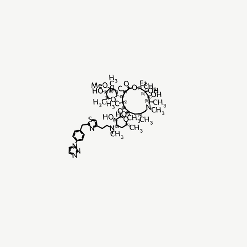 CC[C@H]1OC(=O)[C@H](C)[C@@H](C2C[C@@](C)(OC)[C@@H](O)[C@H](C)O2)[C@H](C)[C@@H](O[C@@H]2O[C@H](C)C[C@H](N(C)CCc3csc(Cc4ccc(-n5ccnn5)cc4)n3)[C@H]2O)[C@](C)(O)C[C@@H](C)CN(C)[C@H](C)[C@@H](O)[C@]1(C)O